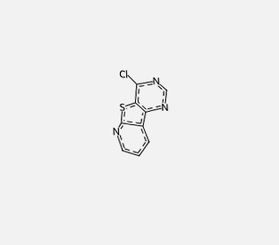 Clc1ncnc2c1sc1ncccc12